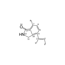 C/C=C(\C)c1ccc(C)c2c1CNC2=O